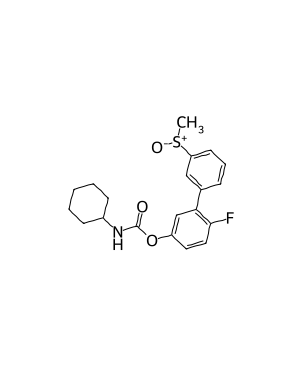 C[S+]([O-])c1cccc(-c2cc(OC(=O)NC3CCCCC3)ccc2F)c1